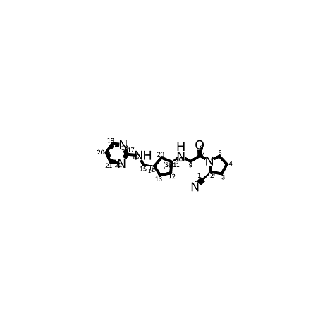 N#C[C@@H]1CCCN1C(=O)CN[C@H]1CC[C@@H](CNc2ncccn2)C1